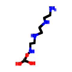 NCCNCCNCCNOB(O)O